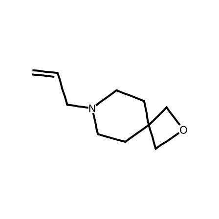 C=CCN1CCC2(CC1)COC2